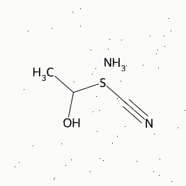 CC(O)SC#N.N